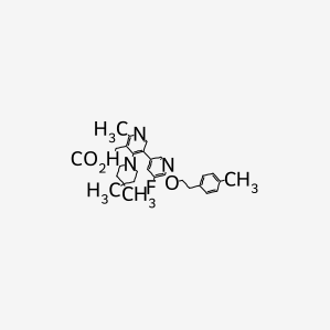 Cc1ccc(CCOc2ncc(-c3cnc(C)c(CC(=O)O)c3N3CCC(C)(C)CC3)cc2F)cc1